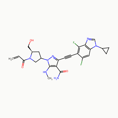 C=CC(=O)N1CC(n2nc(C#Cc3c(F)cc4c(ncn4C4CC4)c3F)c(C(N)=O)c2NC)C[C@@H]1CO